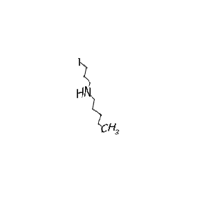 CCCCCNCCCI